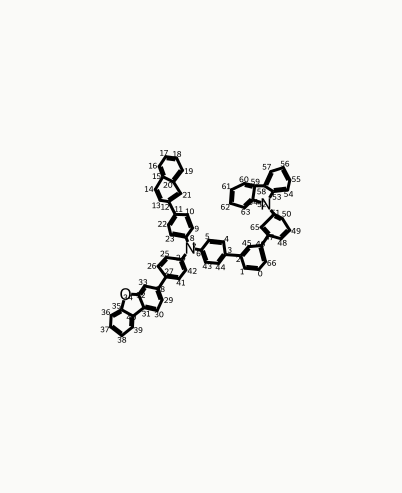 c1cc(-c2ccc(N(c3ccc(-c4ccc5ccccc5c4)cc3)c3ccc(-c4ccc5c(c4)oc4ccccc45)cc3)cc2)cc(-c2cccc(-n3c4ccccc4c4ccccc43)c2)c1